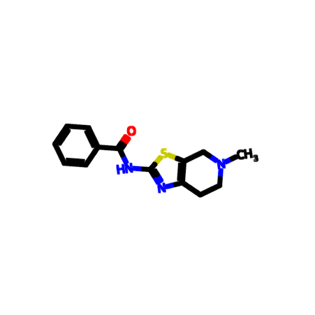 CN1CCc2nc(NC(=O)c3ccccc3)sc2C1